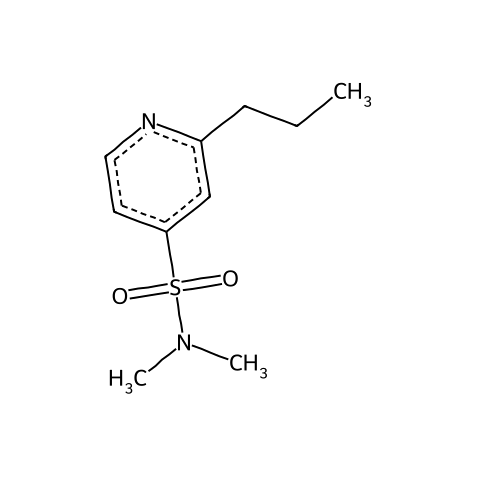 CCCc1cc(S(=O)(=O)N(C)C)ccn1